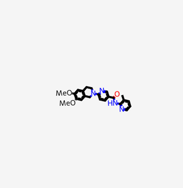 COc1cc2c(cc1OC)CN(c1ccc(C(=O)Nc3ncccc3C)cn1)CC2